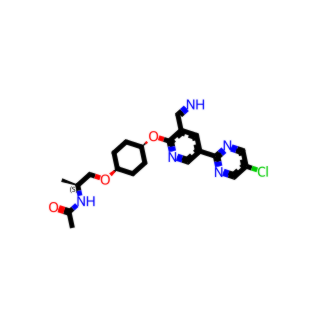 CC(=O)N[C@@H](C)CO[C@H]1CC[C@H](Oc2ncc(-c3ncc(Cl)cn3)cc2C=N)CC1